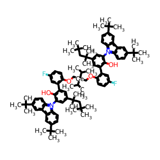 C[CH](C)[Ge]([CH2]Oc1ccc(F)cc1-c1cc(C(C)(C)CC(C)(C)C)cc(-n2c3ccc(C(C)(C)C)cc3c3cc(C(C)(C)C)ccc32)c1O)([CH2]Oc1ccc(F)cc1-c1cc(C(C)(C)CC(C)(C)C)cc(-n2c3ccc(C(C)(C)C)cc3c3cc(C(C)(C)C)ccc32)c1O)[CH](C)C